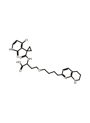 O=C(O)C(CCOCCCCc1ccc2c(n1)NCCC2)NC(=O)C1(c2c(Cl)cc[nH]c2=O)CC1